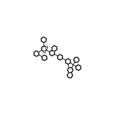 c1ccc(-c2cc(-c3ccccc3-c3ccccc3)nc(-c3ccc(-c4ccc(-c5ccc6c(c5)-c5cc7ccccc7cc5C6(c5ccccc5)c5ccccc5)cc4)c4ccccc34)n2)cc1